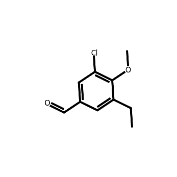 CCc1cc(C=O)cc(Cl)c1OC